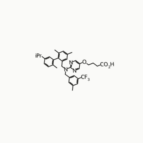 Cc1cc(CN(Cc2cc(C)cc(C)c2-c2cc(C(C)C)ccc2C)c2ncc(OCCCC(=O)O)cn2)cc(C(F)(F)F)c1